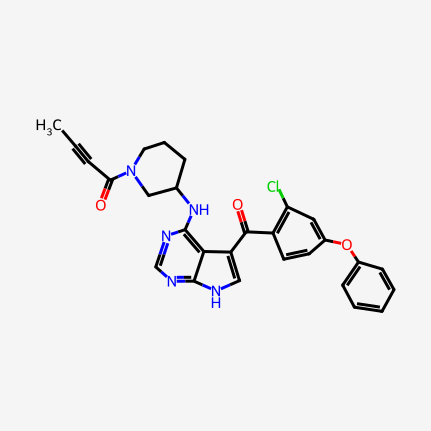 CC#CC(=O)N1CCCC(Nc2ncnc3[nH]cc(C(=O)c4ccc(Oc5ccccc5)cc4Cl)c23)C1